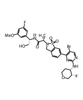 COc1cc(F)cc([C@@H](CO)NC(=O)[C@@H](C)N2Cc3ccc(-c4nc(N[C@H]5CCOC[C@H]5F)ncc4Br)cc3S2(=O)=O)c1